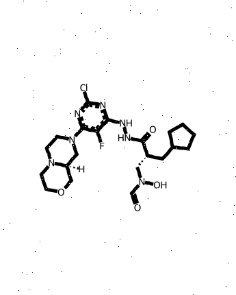 O=CN(O)C[C@@H](CC1CCCC1)C(=O)NNc1nc(Cl)nc(N2CCN3CCOC[C@@H]3C2)c1F